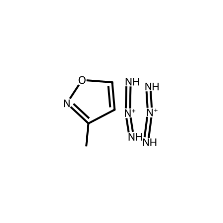 Cc1ccon1.N=[N+]=N.N=[N+]=N